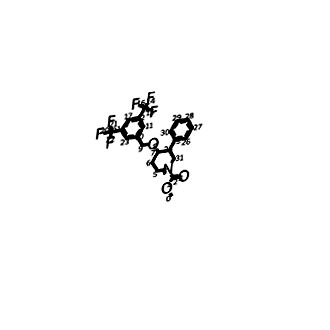 COC(=O)N1CCC(OCc2cc(C(F)(F)F)cc(C(F)(F)F)c2)C(c2ccccc2)C1